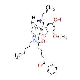 C=CCN1CC[C@]23c4c5c(O)cc(OC)c4O[C@H]2[C@@H](N(CCCCC)C(=O)CCCCC(=O)c2ccccc2)CC[C@H]3[C@H]1C5